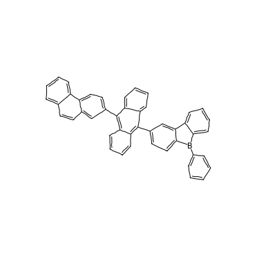 c1ccc(B2c3ccccc3-c3cc(-c4c5ccccc5c(-c5ccc6c(ccc7ccccc76)c5)c5ccccc45)ccc32)cc1